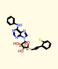 O[C@@H]1[C@H](O)[C@@H](CC#Cc2ccccc2F)O[C@H]1n1cnc2c(Nc3ccccc3)ncnc21